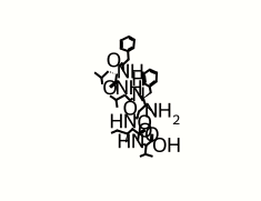 CC[C@H](C)[C@H](NC(=O)C[C@H](N)[C@H](Cc1ccccc1)NC(=O)C(NC(=O)[C@H](CC(C)C)NC(=O)Cc1ccccc1)C(C)C)C(=O)NC(C(=O)O)C(C)C